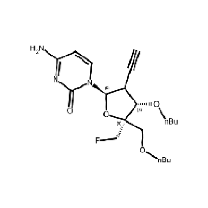 C#CC1[C@H](n2ccc(N)nc2=O)O[C@](CF)(COCCCC)[C@H]1OCCCC